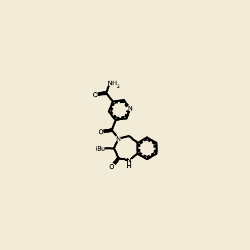 CCC(C)C1C(=O)Nc2ccccc2CN1C(=O)c1cncc(C(N)=O)c1